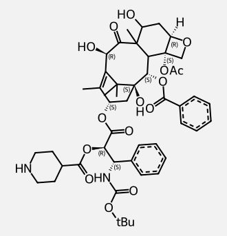 CC(=O)O[C@@]12CO[C@@H]1CC(O)C1(C)C(=O)[C@H](O)C3=C(C)[C@@H](OC(=O)[C@H](OC(=O)C4CCNCC4)[C@@H](NC(=O)OC(C)(C)C)c4ccccc4)C[C@@](O)([C@@H](OC(=O)c4ccccc4)C12)C3(C)C